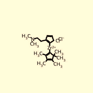 CC1=C(C)C(C)(C)[C]([Zr+2][C]2=C(CCN(C)C)C=CC2)=C1C.[Cl-].[Cl-]